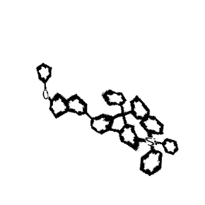 c1ccc(Oc2ccc3cc(-c4ccc5c(c4)C(c4ccccc4)(c4ccccc4)c4cc([Si](c6ccccc6)(c6ccccc6)c6ccccc6)ccc4-5)ccc3c2)cc1